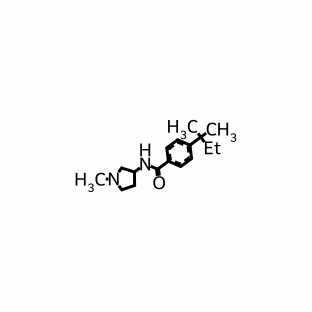 CCC(C)(C)c1ccc(C(=O)NC2CCN(C)C2)cc1